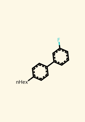 [CH2]CCCCCc1ccc(-c2cccc(F)c2)cc1